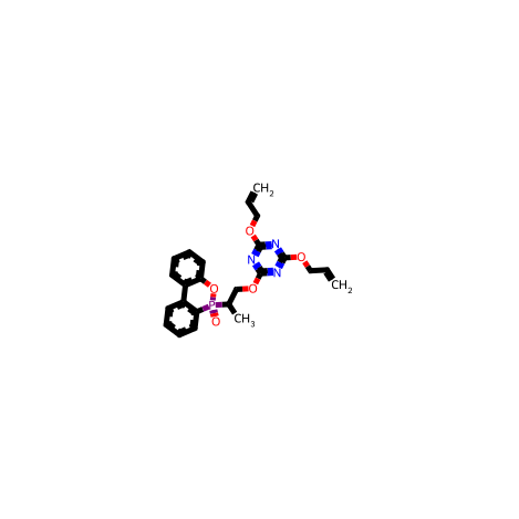 C=CCOc1nc(OCC=C)nc(OCC(C)P2(=O)Oc3ccccc3-c3ccccc32)n1